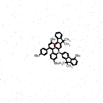 CC(C)(C)c1ccc(-c2cc(C(C)(C)C)ccc2-c2ccc(C(C)(C)C)cc2N(c2ccc3c(c2)C(C)(C)c2ccccc2-3)c2ccc3c(c2)C(C)(C)c2cccc(C(C)(C)C)c2-3)cc1